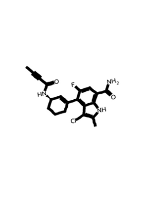 CC#CC(=O)N[C@H]1C=C(c2c(F)cc(C(N)=O)c3[nH]c(C)c(Cl)c23)CCC1